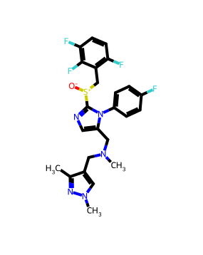 Cc1nn(C)cc1CN(C)Cc1cnc([S+]([O-])Cc2c(F)ccc(F)c2F)n1-c1ccc(F)cc1